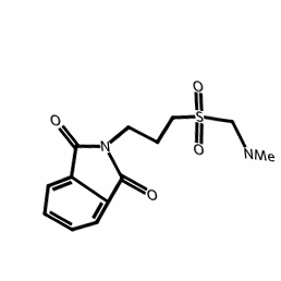 CNCS(=O)(=O)CCCN1C(=O)c2ccccc2C1=O